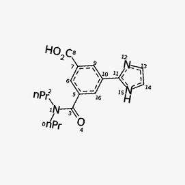 CCCN(CCC)C(=O)c1cc(C(=O)O)cc(-c2ncc[nH]2)c1